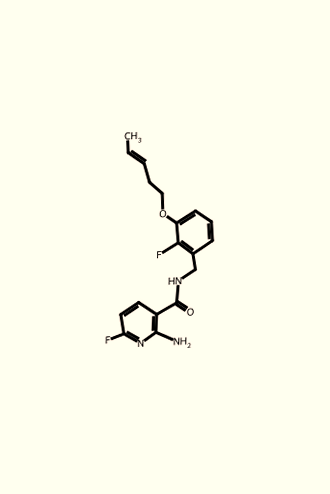 CC=CCCOc1cccc(CNC(=O)c2ccc(F)nc2N)c1F